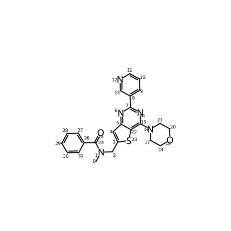 CN(Cc1cc2nc(-c3cccnc3)nc(N3CCOCC3)c2s1)C(=O)c1ccccc1